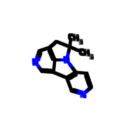 CC1(C)Cc2cncc3c4cnccc4n1c23